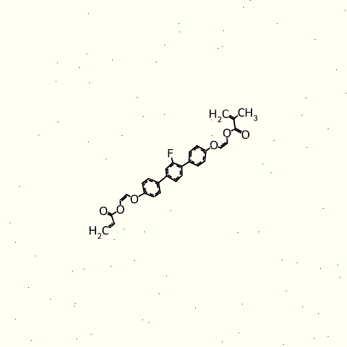 C=CC(=O)O/C=C\Oc1ccc(-c2ccc(-c3ccc(O/C=C\OC(=O)C(=C)C)cc3)c(F)c2)cc1